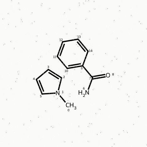 Cn1cccc1.NC(=O)c1ccccc1